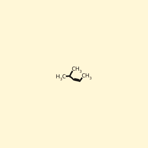 C/C=C\[C](C)C